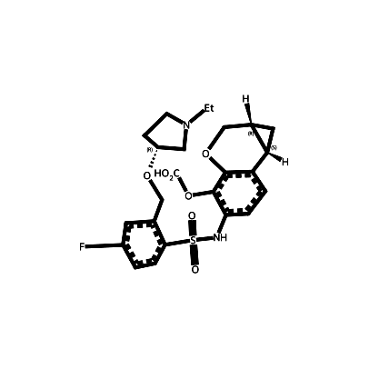 CCN1CC[C@@H](OCc2cc(F)ccc2S(=O)(=O)Nc2ccc3c(c2OC(=O)O)OC[C@@H]2C[C@H]32)C1